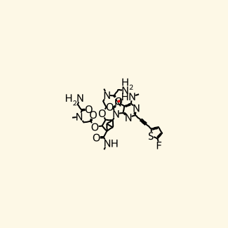 CNC(=O)C12C(OC(=O)CN(C)C(=O)CN)C(OC(=O)CN(C)C(=O)CN)C3(n4cnc5c(NC)nc(C#Cc6ccc(F)s6)nc54)C1C23